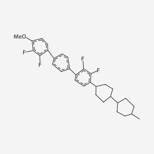 COc1ccc(-c2ccc(-c3ccc(C4CCC(C5CCC(C)CC5)CC4)c(F)c3F)cc2)c(F)c1F